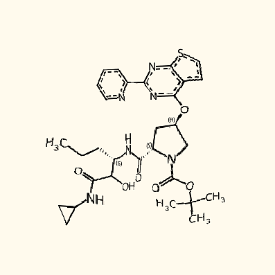 CCC[C@H](NC(=O)[C@@H]1C[C@@H](Oc2nc(-c3ccccn3)nc3sccc23)CN1C(=O)OC(C)(C)C)C(O)C(=O)NC1CC1